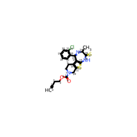 C#CCCOC(=O)N1CCc2c(sc3c2C(c2ccccc2Cl)=NC(C)C(=S)N3)C1